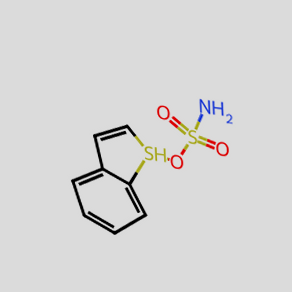 NS(=O)(=O)O[SH]1C=Cc2ccccc21